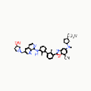 Cc1c(Nc2nccc3cc(CN4CCC(O)C4)cnc23)cccc1-c1cccc(-c2nc3cc(N(C)[C@H]4CC[C@@H](C(=O)O)C4)cc(C#N)c3o2)c1C